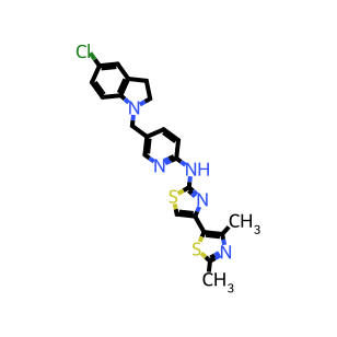 Cc1nc(C)c(-c2csc(Nc3ccc(CN4CCc5cc(Cl)ccc54)cn3)n2)s1